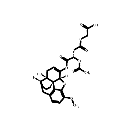 COc1ccc2c3c1O[C@H]1C(OC(=O)[C@H](CC(=O)OCC(=O)O)OC(C)=O)=CC[C@@]4(O)[C@H](CCC[C@]314)C2